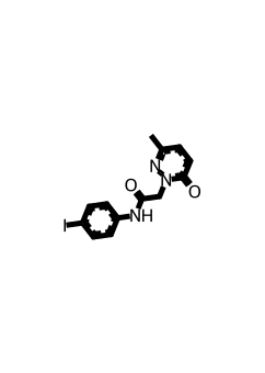 Cc1ccc(=O)n(CC(=O)Nc2ccc(I)cc2)n1